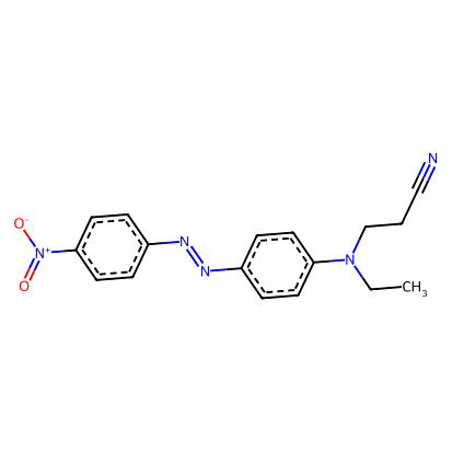 CCN(CCC#N)c1ccc(/N=N/c2ccc([N+](=O)[O-])cc2)cc1